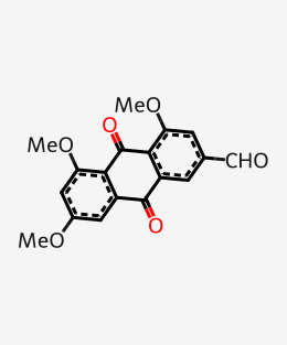 COc1cc(OC)c2c(c1)C(=O)c1cc(C=O)cc(OC)c1C2=O